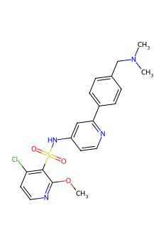 COc1nccc(Cl)c1S(=O)(=O)Nc1ccnc(-c2ccc(CN(C)C)cc2)c1